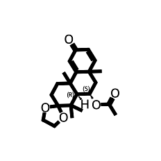 CC(=O)O[C@H]1CC2(C)C=CC(=O)C=C2C2(C)CCC3(OCCO3)C(C)(C)[C@H]12